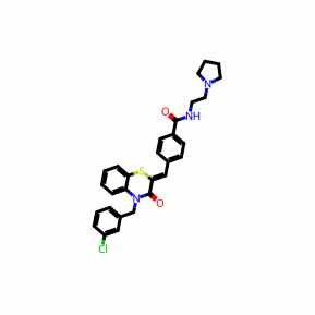 O=C(NCCN1CCCC1)c1ccc(/C=C2\Sc3ccccc3N(Cc3cccc(Cl)c3)C2=O)cc1